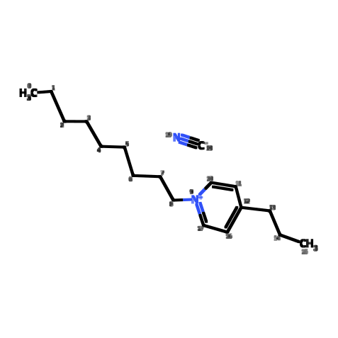 CCCCCCCCC[n+]1ccc(CCC)cc1.[C-]#N